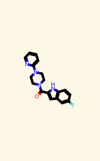 O=C(c1cc2cc(F)ccc2[nH]1)N1CCN(c2ccccn2)CC1